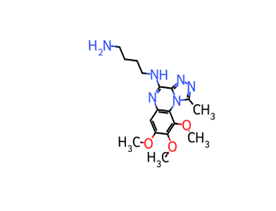 COc1cc2nc(NCCCCN)c3nnc(C)n3c2c(OC)c1OC